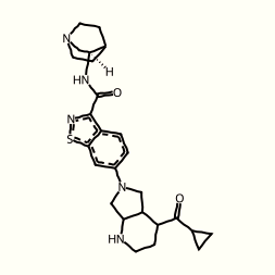 O=C(N[C@H]1CN2CCC1CC2)c1nsc2cc(N3CC4NCCC(C(=O)C5CC5)C4C3)ccc12